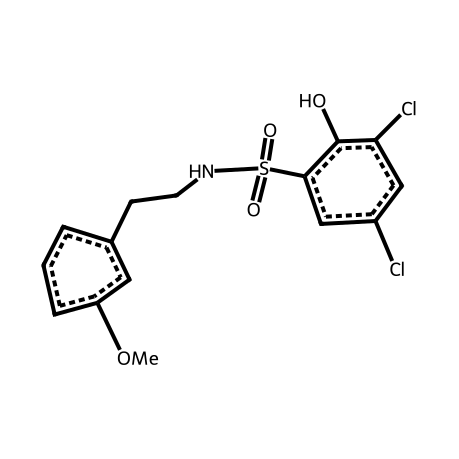 COc1cccc(CCNS(=O)(=O)c2cc(Cl)cc(Cl)c2O)c1